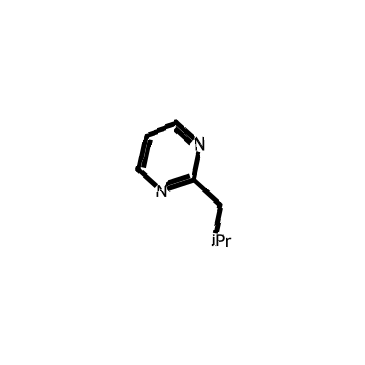 CC(C)Cc1ncccn1